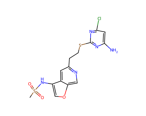 CS(=O)(=O)Nc1coc2cnc(CCSc3nc(N)cc(Cl)n3)cc12